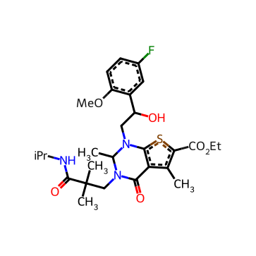 CCOC(=O)c1sc2c(c1C)C(=O)N(CC(C)(C)C(=O)NC(C)C)C(C)N2CC(O)c1cc(F)ccc1OC